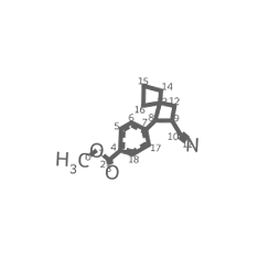 COC(=O)c1ccc(C2C(C#N)CC23CCC3)cc1